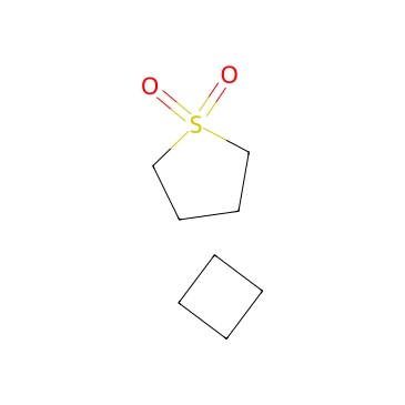 C1CCC1.O=S1(=O)CCCC1